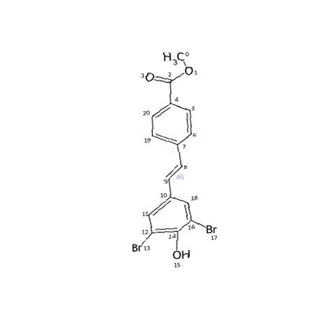 COC(=O)c1ccc(/C=C/c2cc(Br)c(O)c(Br)c2)cc1